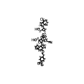 N#CCCOP(=S)(OC[C@H]1C[C@@H](n2cnc3c(Cl)ncnc32)[C@@H]1CO)O[C@H]1[C@@H](F)[C@H](n2cnc3c(OCCc4ccc([N+](=O)[O-])cc4)nc4nccn4c32)O[C@@H]1CO